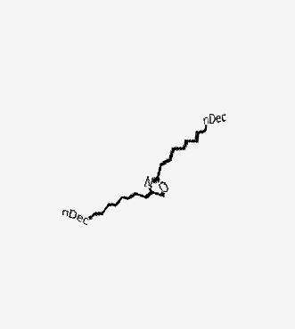 CCCCCCCCCCCCCCCCCCC1=NC(CCCCCCCCCCCCCCCCCC)CO1